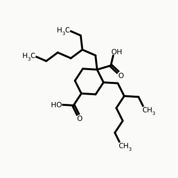 CCCCC(CC)CC1CC(C(=O)O)CCC1(CC(CC)CCCC)C(=O)O